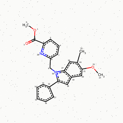 COC(=O)c1cccc(Cn2c(-c3ccccc3)cc3cc(OC)c(C)cc32)n1